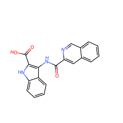 O=C(Nc1c(C(=O)O)[nH]c2ccccc12)c1cc2ccccc2cn1